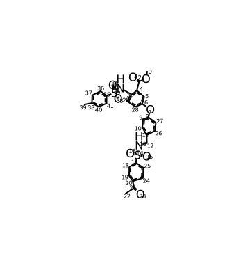 COC(=O)c1cc(Oc2ccc(CNS(=O)(=O)c3ccc(C(C)=O)cc3)cc2)ccc1NS(=O)(=O)c1ccc(C)cc1